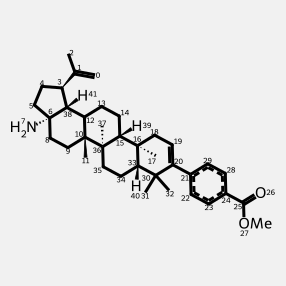 C=C(C)[C@@H]1CC[C@]2(N)CC[C@]3(C)C(CC[C@@H]4[C@@]5(C)CC=C(c6ccc(C(=O)OC)cc6)C(C)(C)[C@@H]5CC[C@]43C)[C@@H]12